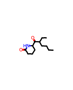 CCCCC(CC)C(=O)C1CCCC(=O)N1